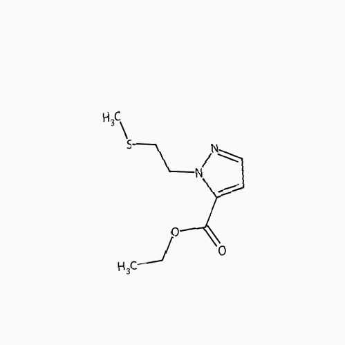 CCOC(=O)c1ccnn1CCSC